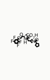 O=C(O)C[C@H](NC(=O)CC1CN(C(=O)C2CCCC2)C1)C(=O)COc1c(F)c(F)cc(F)c1F